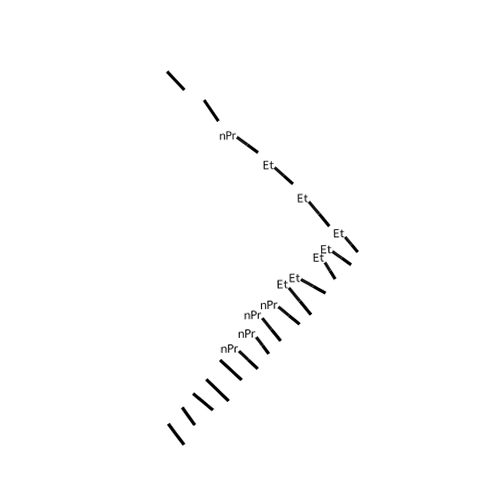 CC.CC.CC.CC.CC.CC.CC.CCC.CCC.CCC.CCC.CCC.CCC.CCC.CCCC.CCCC.CCCC.CCCC.CCCC